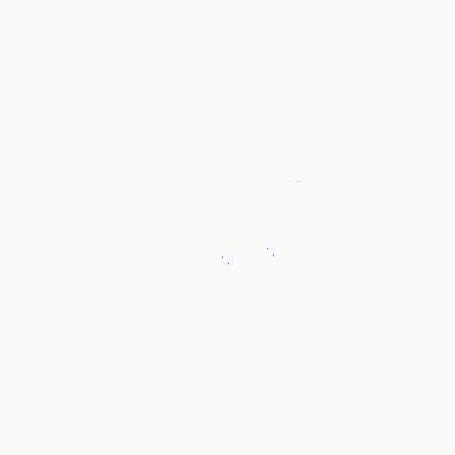 FC(F)(F)c1ccnc2c3c(ccc12)-c1ccccc1SN3